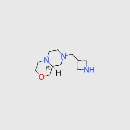 C1CN2CCN(CC3CNC3)C[C@H]2CO1